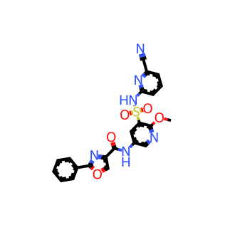 COc1ncc(NC(=O)c2coc(-c3ccccc3)n2)cc1S(=O)(=O)Nc1cccc(C#N)n1